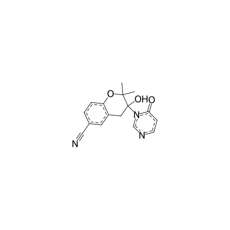 CC1(C)Oc2ccc(C#N)cc2CC1(O)n1cnccc1=O